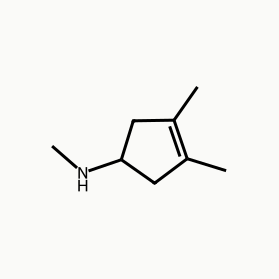 CNC1CC(C)=C(C)C1